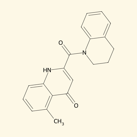 Cc1cccc2[nH]c(C(=O)N3CCCc4ccccc43)cc(=O)c12